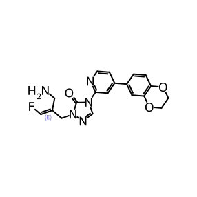 NC/C(=C\F)Cn1ncn(-c2cc(-c3ccc4c(c3)OCCO4)ccn2)c1=O